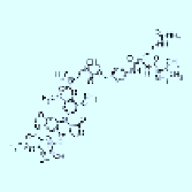 COc1cc([C@@H]2c3cc4c(cc3[C@@H](O[C@@H]3OC5CO[C@@H](C)OC5[C@H](O)[C@H]3O)C3COC(=O)C32)OCO4)cc(OC)c1OC(=O)N(C)CCN(C)C(=O)OCc1ccc(NC(=O)[C@H](CCCNC(N)=O)NC(=O)[C@@H](N)C(C)C)cc1